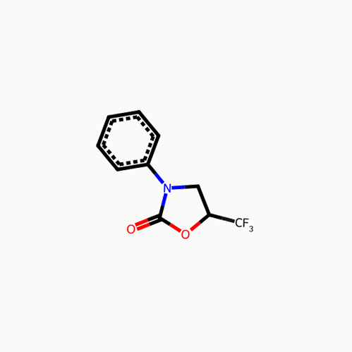 O=C1OC(C(F)(F)F)CN1c1ccccc1